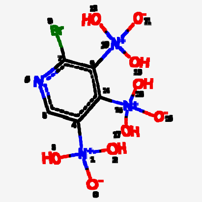 [O-][N+](O)(O)c1cnc(Br)c([N+]([O-])(O)O)c1[N+]([O-])(O)O